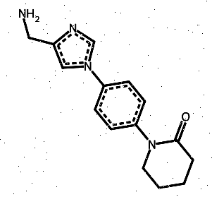 NCc1cn(-c2ccc(N3CCCCC3=O)cc2)cn1